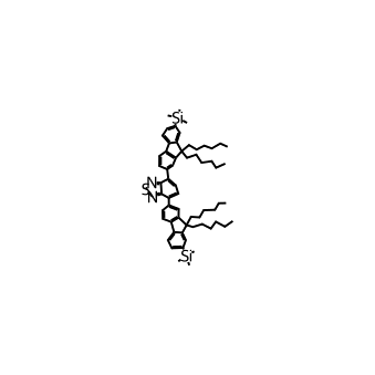 CCCCCCC1(CCCCCC)c2cc(-c3ccc(-c4ccc5c(c4)C(CCCCCC)(CCCCCC)c4cc([Si](C)(C)C)ccc4-5)c4nsnc34)ccc2-c2ccc([Si](C)(C)C)cc21